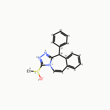 CC[S+]([O-])c1nnc2n1C=Cc1ccccc1C2c1ccccc1